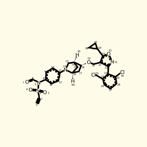 C#CS(=O)(=O)N(C=O)c1ccc(N2C[C@@H]3C[C@H]2C[C@H]3OCc2c(-c3c(Cl)cccc3Cl)noc2C2CC2)cc1